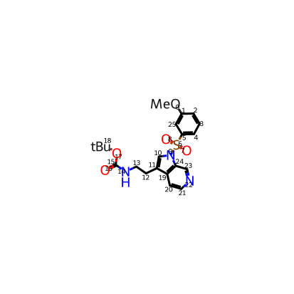 COc1cccc(S(=O)(=O)n2cc(CCNC(=O)OC(C)(C)C)c3ccncc32)c1